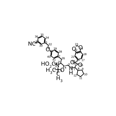 CC1(C)O[C@H](CNC(C2CCCC2)S(=O)(=O)c2ccc3c(c2)OCO3)[C@H](Cc2ccc(OCc3cccc(C#N)c3)cc2)N1C(=O)O